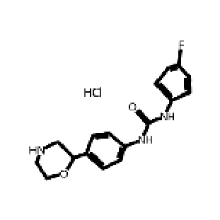 Cl.O=C(Nc1ccc(F)cc1)Nc1ccc(C2CNCCO2)cc1